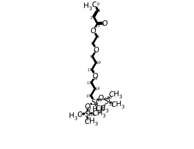 CC=CC(=O)OCCOCCCOCCC[Si](C)(O[Si](C)(C)C)O[Si](C)(C)C